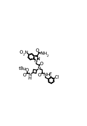 CC(C)(C)OC(=O)NC1CC(N(CC(=O)NCc2cccc(Cl)c2F)C(=O)Cn2nc(C(N)=O)c3cc([N+](=O)[O-])ccc32)C1